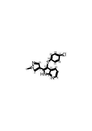 Cn1cc(-c2[nH]c3ncccc3c2Sc2ccc(Cl)cc2)cn1